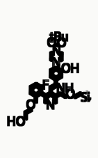 CC(C)(C)OC(=O)N1CCN(c2ccc(C3=Cc4c(-c5c(F)cccc5COCCCO)cncc4C(COCC[Si](C)(C)C)N3)cc2O)CC1